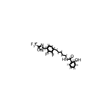 O=C(NCCCCCc1ccc(-c2noc(C(F)(F)F)n2)c(F)c1F)c1ccccc1O